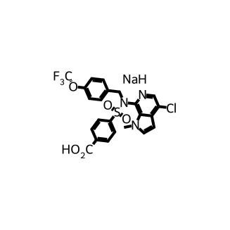 Cn1ccc2c(Cl)cnc(N(Cc3ccc(OC(F)(F)F)cc3)S(=O)(=O)c3ccc(C(=O)O)cc3)c21.[NaH]